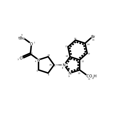 CC(C)(C)OC(=O)N1CC[C@@H](n2nc(C(=O)O)c3cc(Br)ccc32)C1